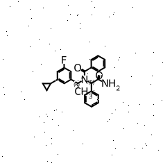 C[C@H](c1cc(F)cc(C2CC2)c1)N(C(=O)c1ccccc1)[C@@H](C(N)=O)c1ccccc1